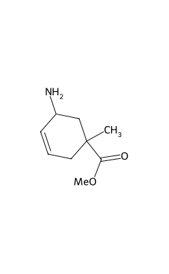 COC(=O)C1(C)CC=CC(N)C1